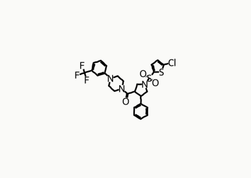 O=C(C1CN(S(=O)(=O)c2ccc(Cl)s2)CC1c1ccccc1)N1CCN(c2cccc(C(F)(F)F)c2)CC1